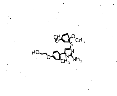 COc1ccc(OC)c(Sc2cc(-c3ccc(OCCO)cc3C)nc(N)n2)c1